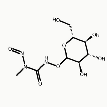 CN(N=O)C(=O)NOC1O[C@H](CO)[C@@H](O)[C@H](O)[C@H]1O